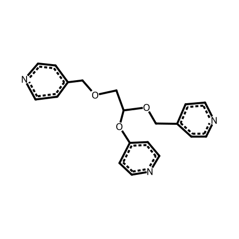 c1cc(COCC(OCc2ccncc2)Oc2ccncc2)ccn1